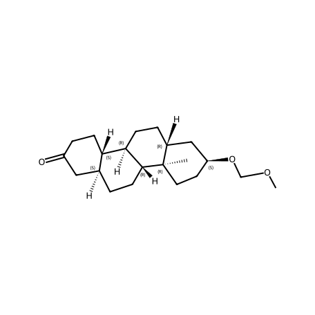 COCO[C@H]1CC[C@]2(C)[C@H](CC[C@@H]3[C@H]4CCC(=O)C[C@@H]4CC[C@H]32)C1